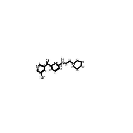 O=C(c1cncc(Br)c1)c1cccc(NCCN2CCCCC2)n1